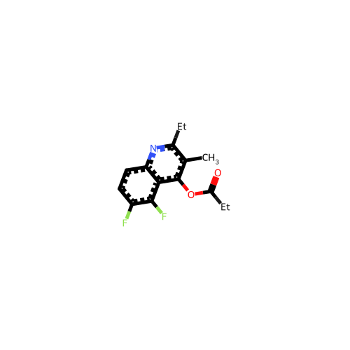 CCC(=O)Oc1c(C)c(CC)nc2ccc(F)c(F)c12